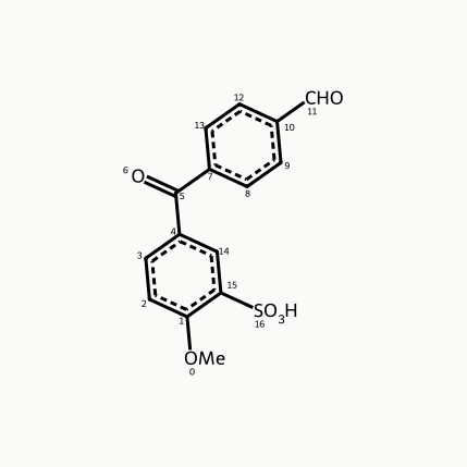 COc1ccc(C(=O)c2ccc(C=O)cc2)cc1S(=O)(=O)O